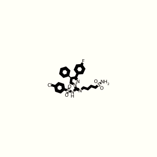 NS(=O)(=O)CCCC/N=C(/NS(=O)(=O)c1ccc(Cl)cc1)N1C[C@@H](c2ccccc2)C(c2ccc(F)cc2)=N1